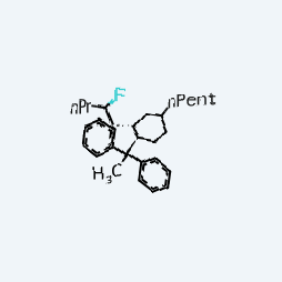 CCCCCC1CC[C@@H](C(C)(c2ccccc2)c2ccccc2)[C@H](CC(F)CCC)C1